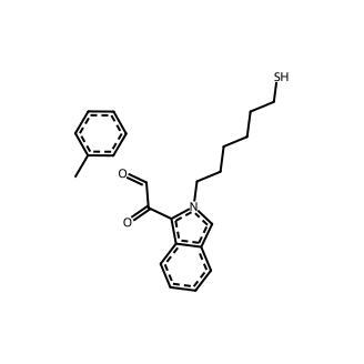 Cc1ccccc1.O=CC(=O)c1c2ccccc2cn1CCCCCCS